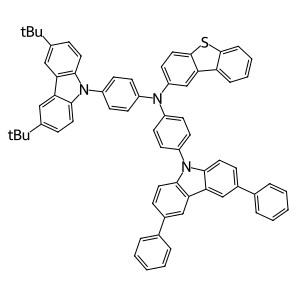 CC(C)(C)c1ccc2c(c1)c1cc(C(C)(C)C)ccc1n2-c1ccc(N(c2ccc(-n3c4ccc(-c5ccccc5)cc4c4cc(-c5ccccc5)ccc43)cc2)c2ccc3sc4ccccc4c3c2)cc1